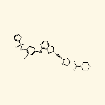 O=C(OC1CNC(C#Cc2cc3ncnc(Nc4ccc(NS(=O)(=O)c5cccs5)c(Cl)c4)c3s2)C1)N1CCOCC1